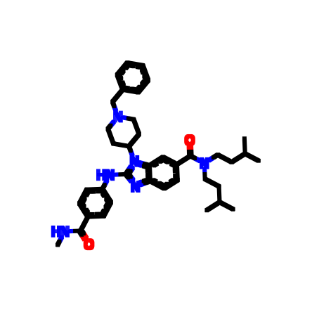 CNC(=O)c1ccc(Nc2nc3ccc(C(=O)N(CCC(C)C)CCC(C)C)cc3n2C2CCN(Cc3ccccc3)CC2)cc1